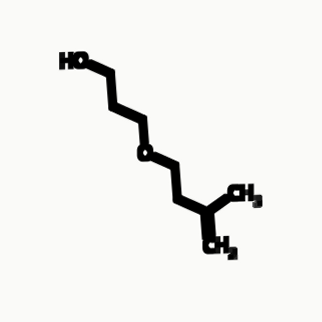 C=C(C)CCOCCCO